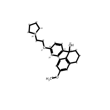 COc1ccc2c(c1)CCCC2(O)c1ccc(OCCN2CCCC2)nc1